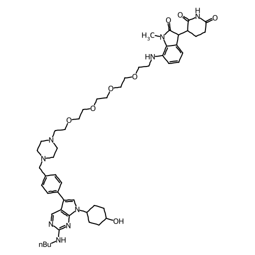 CCCCNc1ncc2c(-c3ccc(CN4CCN(CCOCCOCCOCCOCCNc5cccc6c5N(C)C(=O)C6C5CCC(=O)NC5=O)CC4)cc3)cn(C3CCC(O)CC3)c2n1